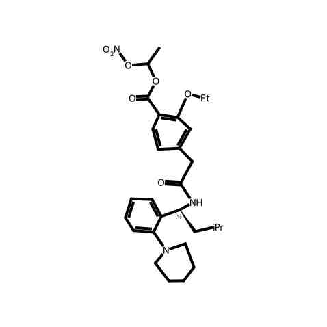 CCOc1cc(CC(=O)N[C@@H](CC(C)C)c2ccccc2N2CCCCC2)ccc1C(=O)OC(C)O[N+](=O)[O-]